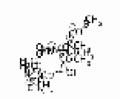 CCn1c(-c2cccnc2[C@H](C)OC)c2c3cc(ccc31)-c1cc(O)cc(c1)C[C@H](NC(=O)C(C(C)C)N(C)C(=O)[C@H]1CCN(C(=O)OC3CN(C)C3)C1)C(=O)N1CCC[C@H](N1)C(=O)OCC(C)(C)C2